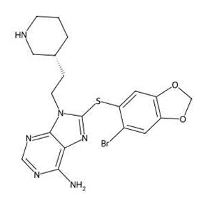 Nc1ncnc2c1nc(Sc1cc3c(cc1Br)OCO3)n2CC[C@H]1CCCNC1